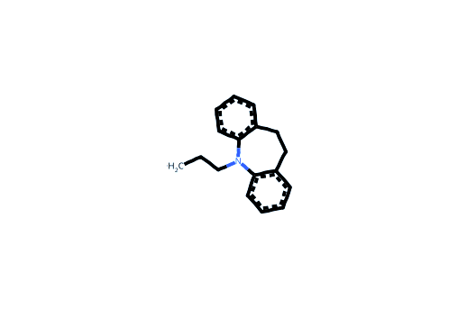 [CH2]CCN1c2ccccc2CCc2ccccc21